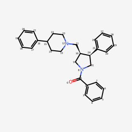 O=C(c1ccccc1)N1C[C@@H](CN2CCC(c3ccccc3)CC2)[C@@H](c2ccccc2)C1